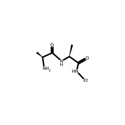 CCNC(=O)[C@H](C)NC(=O)[C@H](C)N